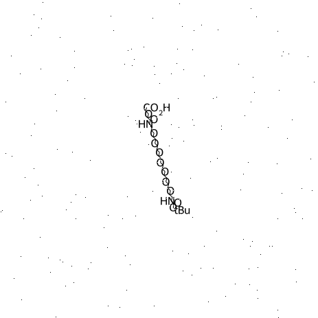 CC(C)(C)OC(=O)NCCOCCOCCOCCOCCOCCOCCOCCNC(=O)COCC(=O)O